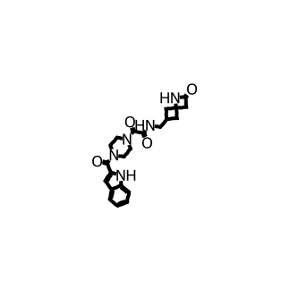 O=C1CC2(CC(CNC(=O)C(=O)N3CCN(C(=O)c4cc5ccccc5[nH]4)CC3)C2)N1